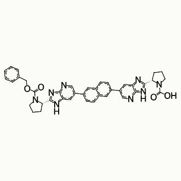 O=C(O)N1CCC[C@H]1c1nc2cc(-c3ccc4cc(-c5cnc6nc([C@@H]7CCCN7C(=O)OCc7ccccc7)[nH]c6c5)ccc4c3)cnc2[nH]1